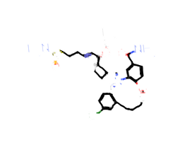 CO[C@@H](/C=C/CCC[S@@+](N)[O-])[C@@H]1CC[C@H]1CN1Cc2ccc(Cl)cc2CCCCOc2ccc(C(N)=O)cc21